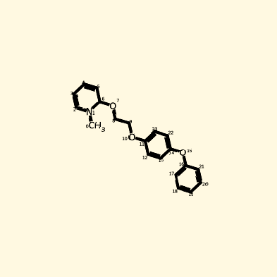 CN1C=CC=CC1OCCOc1ccc(Oc2ccccc2)cc1